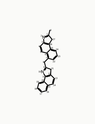 CC1=Nc2ccc3c(CC4=Nc5c(ccc6ccccc56)C4)cccc3c2C1